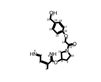 C/C(=C/C=N)C(=N)OC1CCN(C(=O)COc2ccc(CO)cc2)C1